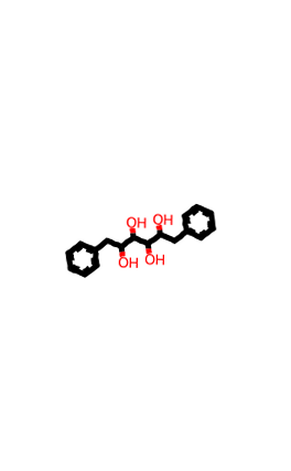 OC(Cc1ccccc1)C(O)C(O)C(O)Cc1ccccc1